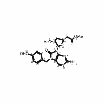 COC(=O)C[C@@H]1C[C@@H](OC(C)=O)[C@H](n2c(=O)n(Cc3ccc(C=O)cc3)c3cnc(N)nc32)O1